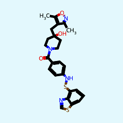 Cc1noc(C)c1CC1(O)CCN(C(=O)c2ccc(NSc3cccc4scnc34)cc2)CC1